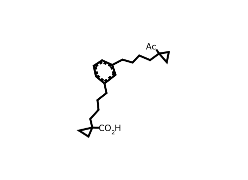 CC(=O)C1(CCCCc2cccc(CCCCC3(C(=O)O)CC3)c2)CC1